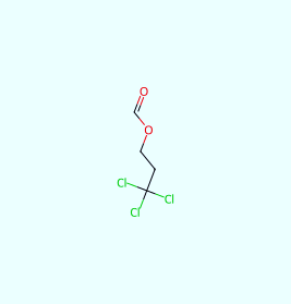 O=COCCC(Cl)(Cl)Cl